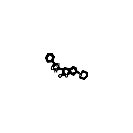 O=c1oc2cc(N3CCCCC3)ccc2cc1-c1noc(-c2ccccc2)n1